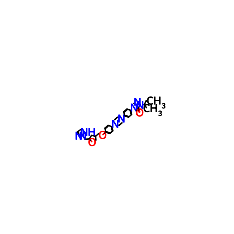 CCC(C)n1ncn(-c2ccc(N3CCN(c4ccc(OCC5COC(CN6N=CCN6)C5)cc4)CC3)cc2)c1=O